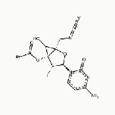 CC(C)C(=O)O[C@]12C(O)[C@@]1(CN=[N+]=[N-])O[C@@H](n1ccc(N)nc1=O)[C@@H]2F